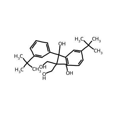 CC(C)(C)c1cccc(C(O)(c2cccc(C(C)(C)C)c2)C(CO)(CO)CO)c1